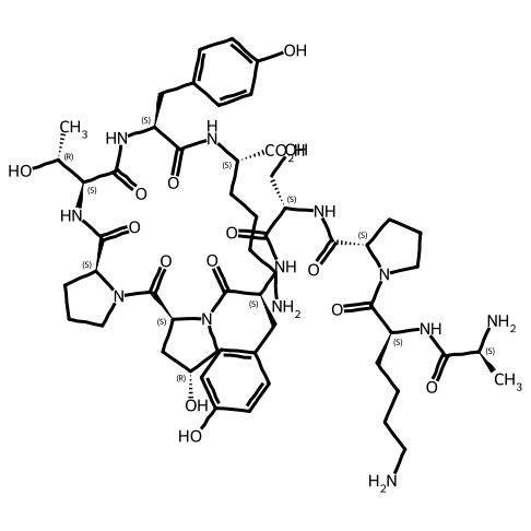 C[C@H](N)C(=O)N[C@@H](CCCCN)C(=O)N1CCC[C@H]1C(=O)N[C@@H](CO)C(=O)N[C@@H](Cc1ccc(O)cc1)C(=O)N1C[C@H](O)C[C@H]1C(=O)N1CCC[C@H]1C(=O)N[C@H](C(=O)N[C@@H](Cc1ccc(O)cc1)C(=O)N[C@@H](CCCCN)C(=O)O)[C@@H](C)O